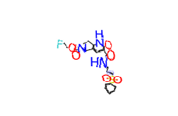 O=C(NC/C=C/S(=O)(=O)c1ccccc1)c1cc2c([nH]c1=O)CCN(C(=O)OCCF)C2